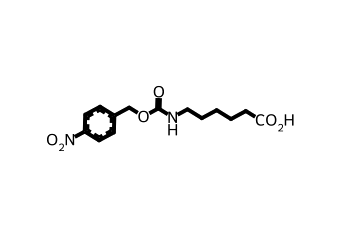 O=C(O)CCCCCNC(=O)OCc1ccc([N+](=O)[O-])cc1